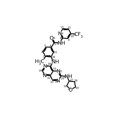 Cc1ccc(C(=O)Nc2cc(C(F)(F)F)ccn2)cc1Nc1ncnc2cnc(NC3CCOC3)nc12